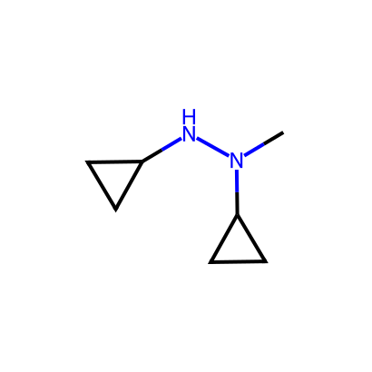 CN(NC1CC1)C1CC1